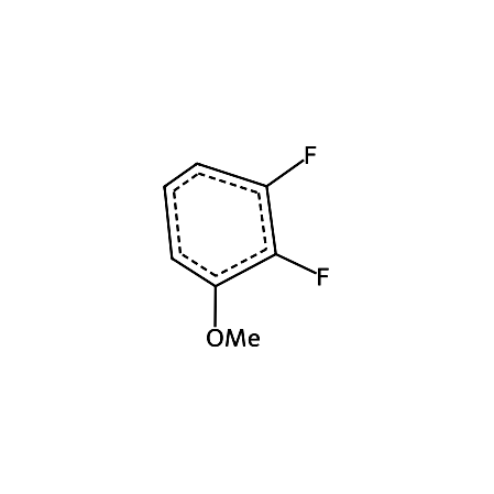 [CH2-][OH+]c1cccc(F)c1F